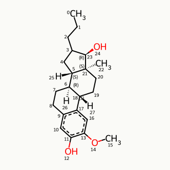 CCCC1C[C@H]2[C@@H]3CCc4cc(O)c(OC)cc4[C@H]3CC[C@]2(C)[C@@H]1O